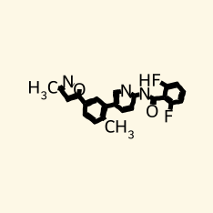 Cc1cc(-c2ccc(C)c(-c3ccc(NC(=O)c4c(F)cccc4F)nc3)c2)on1